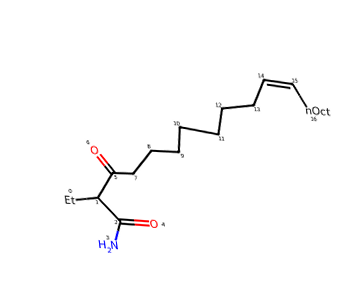 [CH2]CC(C(N)=O)C(=O)CCCCCCC/C=C\CCCCCCCC